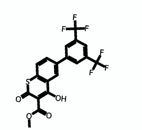 COC(=O)c1c(O)c2cc(-c3cc(C(F)(F)F)cc(C(F)(F)F)c3)ccc2sc1=O